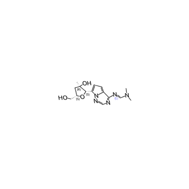 CN(C)/C=N/c1ncnn2c([C@@H]3O[C@H](CO)C[C@@]3(C)O)ccc12